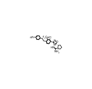 CCCc1ccc(CCc2ccc(-c3noc([C@@H]4CCCN4C(=N)N)n3)cc2C(F)(F)F)cc1.Cl